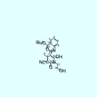 Cc1c(/N=N/c2ccccc2C(=O)OCC(C)C)c(O)n(CCO)c(=O)c1C#N